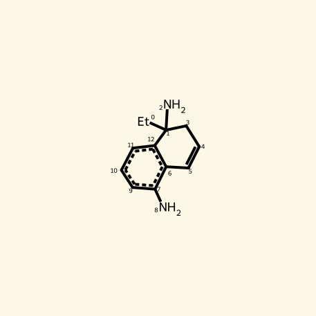 CCC1(N)CC=Cc2c(N)cccc21